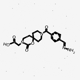 NN=Cc1ccc(C(=O)N2CCC3(CCN(CC(=O)O)C(=O)O3)CC2)cc1